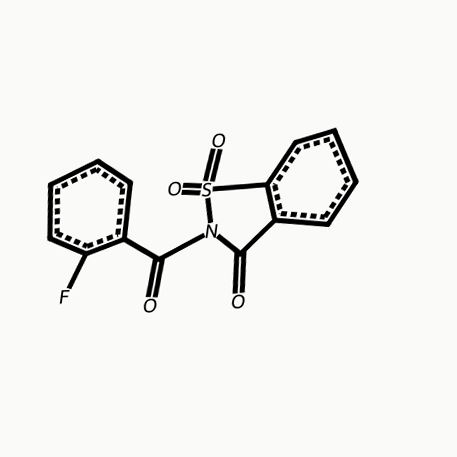 O=C(c1ccccc1F)N1C(=O)c2ccccc2S1(=O)=O